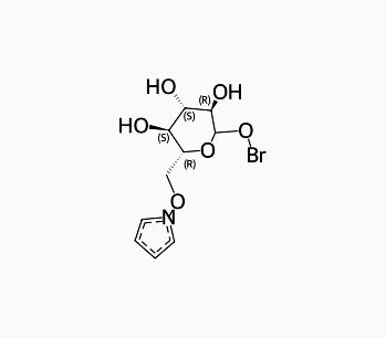 O[C@H]1[C@H](O)[C@@H](O)C(OBr)O[C@@H]1COn1cccc1